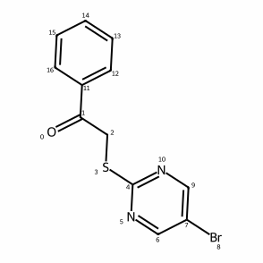 O=C(CSc1ncc(Br)cn1)c1ccccc1